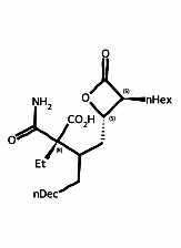 CCCCCCCCCCCC(C[C@@H]1OC(=O)[C@H]1CCCCCC)[C@](CC)(C(N)=O)C(=O)O